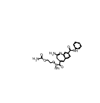 CCCN(OCCOC(N)=O)C(=O)C1=Cc2ccc(C(=O)Nc3ccccc3)cc2N=C(N)C1